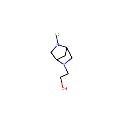 CCN1CC2CC1CN2CCO